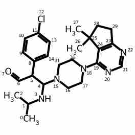 CC(C)NC(C(C=O)c1ccc(Cl)cc1)N1CCN(c2ncnc3c2C(C)(C)CC3)CC1